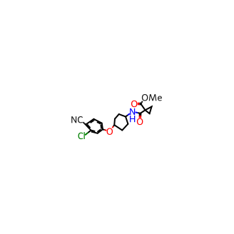 COC(=O)C1(C(=O)NC2CCC(Oc3ccc(C#N)c(Cl)c3)CC2)CC1